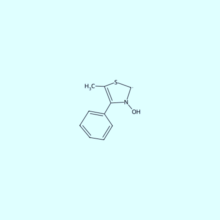 CC1=C(c2ccccc2)N(O)[CH]S1